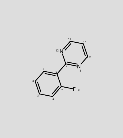 Fc1ccccc1-c1n[c]ccn1